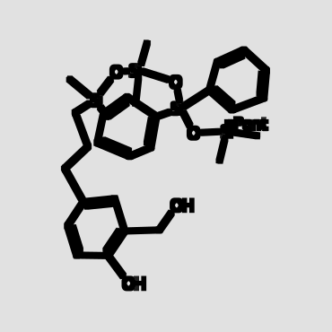 CCCCC[Si](C)(C)O[Si](O[Si](C)(C)O[Si](C)(C)CCCc1ccc(O)c(CO)c1)(c1ccccc1)c1ccccc1